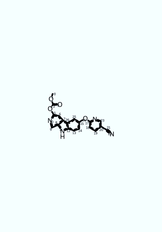 COC(=O)Oc1cc2c(cn1)[nH]c1ccc(Oc3ccc(C#N)cn3)cc12